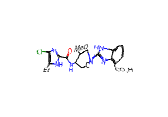 CCc1[nH]c(C(=O)N[C@@H]2CCN(c3nc4c(C(=O)O)cccc4[nH]3)C[C@@H]2OC)nc1Cl